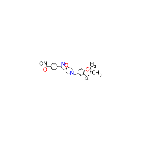 CC1(C)CC2(CC2)c2cc(CN3CCC4(CC3)CC(C3C=CC(C(=O)N=O)=CC3)=NO4)ccc2O1